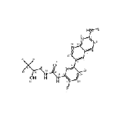 CNc1ncc2cc(-c3cc(NC(=O)NCC(O)C(C)(C)C)c(F)cc3C)cnc2n1